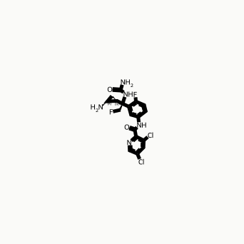 NC(=O)N[C@](CF)(c1cc(NC(=O)c2ncc(Cl)cc2Cl)ccc1F)[C@H]1C[C@H]1N